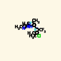 C=Cc1ccc(/C(F)=C/C(c2cc(C)c(C)c(Cl)c2)C(F)(F)F)cc1C(F)(F)N(C)Nc1ccc(C)nc1